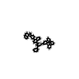 CC1(C)c2ccc(-c3ccc(-c4nc(-c5ccccc5)cc(-c5ccc6c(c5)-c5ccccc5C6(c5ccccc5)c5ccccc5)n4)c4ccccc34)cc2-c2c1ccc1ccccc21